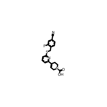 N#Cc1ccc(CSc2cccc(C3=CCN(C(=O)O)CC3)n2)c(F)c1